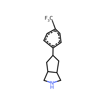 FC(F)(F)c1ccc(C2CC3CNCC3C2)cc1